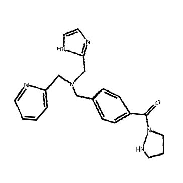 O=C(c1ccc(CN(Cc2ccccn2)Cc2ncc[nH]2)cc1)N1CCCN1